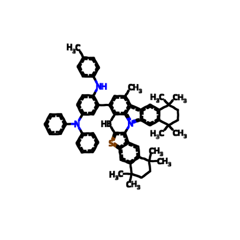 Cc1ccc(Nc2ccc(N(c3ccccc3)c3ccccc3)cc2-c2cc(C)c3c4cc5c(cc4n4c3c2Bc2sc3cc6c(cc3c2-4)C(C)(C)CCC6(C)C)C(C)(C)CCC5(C)C)cc1